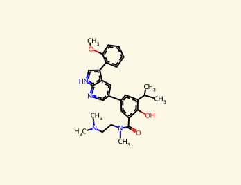 COc1ccccc1-c1c[nH]c2ncc(-c3cc(C(=O)N(C)CCN(C)C)c(O)c(C(C)C)c3)cc12